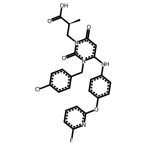 C[C@@H](Cn1c(=O)cc(Nc2ccc(Oc3cccc(F)n3)cc2)n(Cc2ccc(Cl)cc2)c1=O)C(=O)O